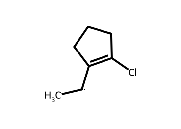 C[CH]C1=C(Cl)CCC1